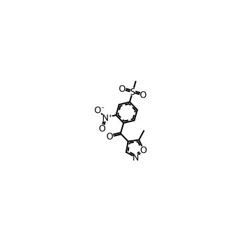 Cc1oncc1C(=O)c1ccc(S(C)(=O)=O)cc1[N+](=O)[O-]